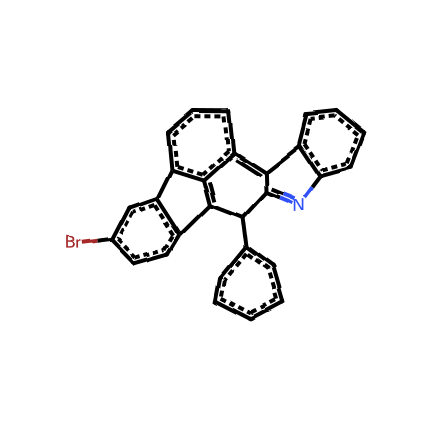 Brc1ccc2c(c1)-c1cccc3c1=C2C(c1ccccc1)C1=Nc2ccccc2C=31